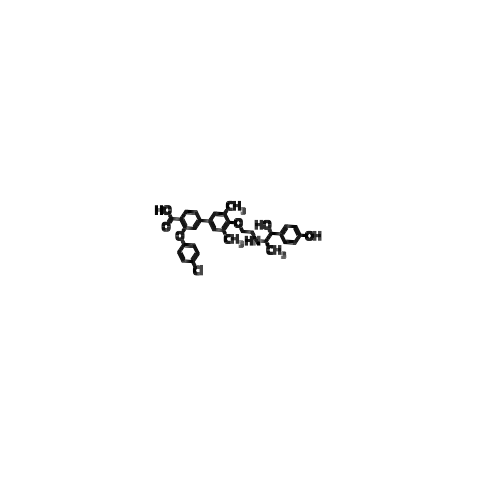 Cc1cc(-c2ccc(C(=O)O)c(Oc3ccc(Cl)cc3)c2)cc(C)c1OCCN[C@H](C)[C@@H](O)c1ccc(O)cc1